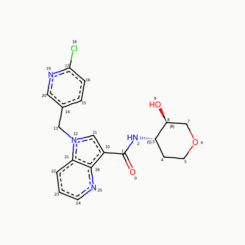 O=C(N[C@H]1CCOC[C@@H]1O)c1cn(Cc2ccc(Cl)nc2)c2cccnc12